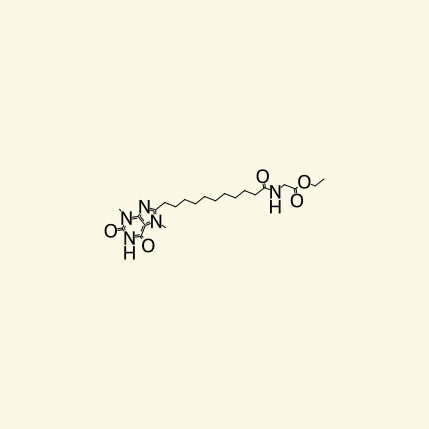 CCOC(=O)CNC(=O)CCCCCCCCCCc1nc2c(c(=O)[nH]c(=O)n2C)n1C